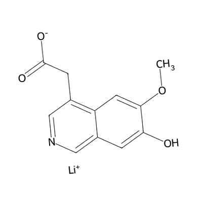 COc1cc2c(CC(=O)[O-])cncc2cc1O.[Li+]